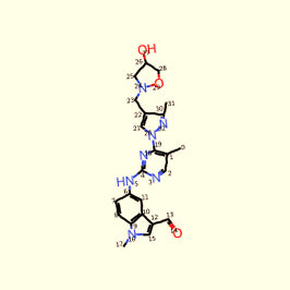 Cc1cnc(Nc2ccc3c(c2)c(C=O)cn3C)nc1-n1cc(CN2CC(O)CO2)c(C)n1